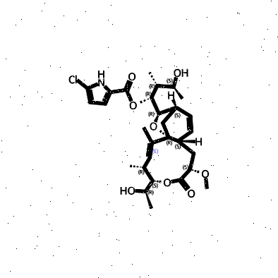 CO[C@H]1C[C@H]2C=C[C@@H]3C[C@]2(O[C@H]3[C@H](OC(=O)c2ccc(Cl)[nH]2)[C@H](C)[C@H](C)O)/C(C)=C/[C@@H](C)[C@@H]([C@@H](C)O)OC1=O